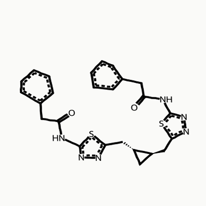 O=C(Cc1ccccc1)Nc1nnc(C[C@H]2C[C@@H]2Cc2nnc(NC(=O)Cc3ccccc3)s2)s1